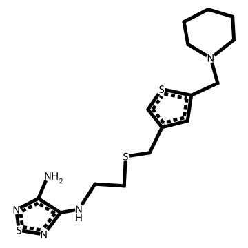 Nc1nsnc1NCCSCc1csc(CN2CCCCC2)c1